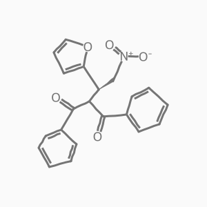 O=C(c1ccccc1)C(C(=O)c1ccccc1)[C@H](C[N+](=O)[O-])c1ccco1